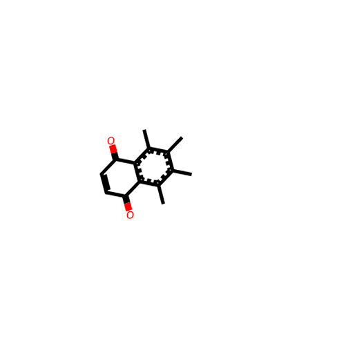 Cc1c(C)c(C)c2c(c1C)C(=O)C=CC2=O